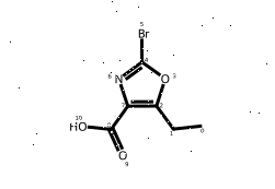 CCc1oc(Br)nc1C(=O)O